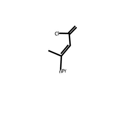 C=C(Cl)/C=C(\C)CCC